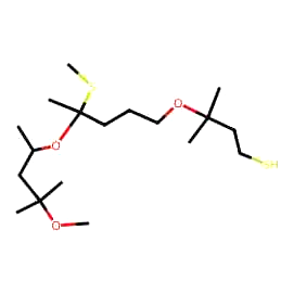 COC(C)(C)CC(C)OC(C)(CCCOC(C)(C)CCS)SC